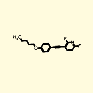 CCCCCOc1ccc(C#Cc2ccc(F)nc2F)cc1